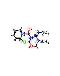 CN1COCN(C([O-])[n+]2ccccc2Cl)C1=N[N+](=O)[O-]